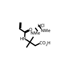 C=CC(=O)NC(C)(C)CC(=O)O.CNC.CNC.Cl